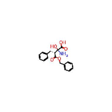 N[C@@](O)(C(=O)O)[C@@H](Cc1ccccc1)C(=O)OCc1ccccc1